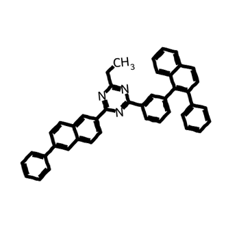 CCc1nc(-c2cccc(-c3c(-c4ccccc4)ccc4ccccc34)c2)nc(-c2ccc3cc(-c4ccccc4)ccc3c2)n1